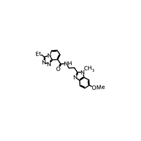 CCc1nnc2c(C(=O)NCCc3nc4ccc(OC)cc4n3C)cccn12